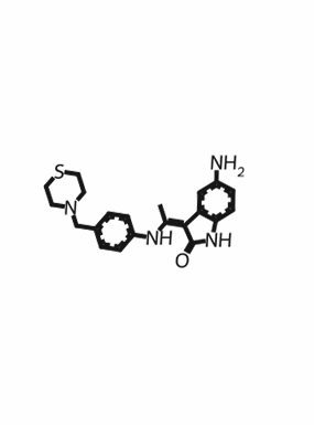 C/C(Nc1ccc(CN2CCSCC2)cc1)=C1/C(=O)Nc2ccc(N)cc21